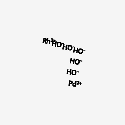 [OH-].[OH-].[OH-].[OH-].[OH-].[Pd+2].[Rh+3]